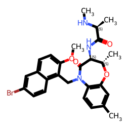 CN[C@@H](C)C(=O)N[C@@H]1C(=O)N(Cc2c(OC)ccc3cc(Br)ccc23)c2ccc(C)cc2O[C@H]1C